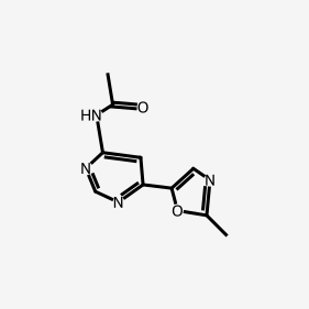 CC(=O)Nc1cc(-c2cnc(C)o2)ncn1